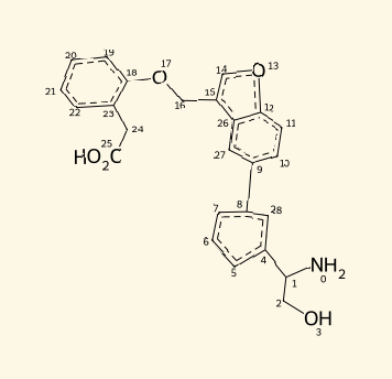 NC(CO)c1cccc(-c2ccc3occ(COc4ccccc4CC(=O)O)c3c2)c1